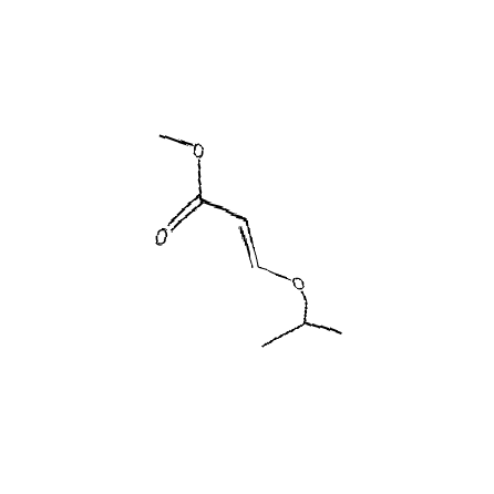 COC(=O)C=COC(C)C